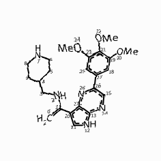 C=C(NCC1CCNCC1)c1c[nH]c2ncc(-c3cc(OC)c(OC)c(OC)c3)nc12